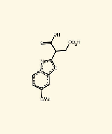 COc1ccc2nc(C(CC(=O)O)C(O)=S)oc2c1